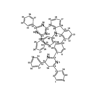 c1ccc(C2=NC(c3ccc(-c4cccc5c6cccc(-c7nc(-c8ccccc8)nc(-c8ccccc8)n7)c6n(-c6ccccc6)c45)cc3)=NC(c3ccccc3)C2)cc1